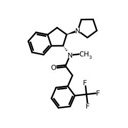 CN(C(=O)Cc1ccccc1C(F)(F)F)[C@@H]1c2ccccc2C[C@H]1N1CCCC1